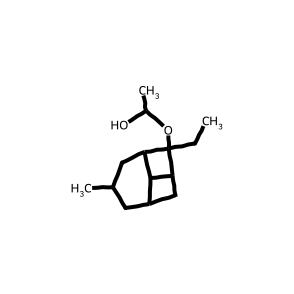 CCC1(OC(C)O)C2CC(C)CC3CC1C32